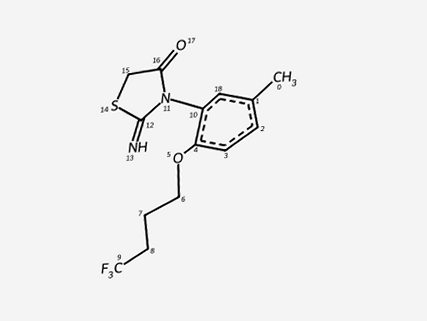 Cc1ccc(OCCCC(F)(F)F)c(N2C(=N)SCC2=O)c1